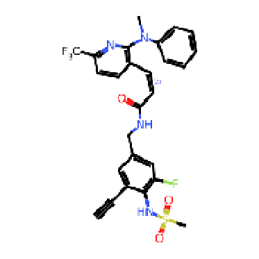 C#Cc1cc(CNC(=O)/C=C\c2ccc(C(F)(F)F)nc2N(C)c2ccccc2)cc(F)c1NS(C)(=O)=O